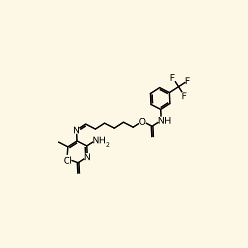 C=C(Cl)/N=C(/N)C(/N=C\CCCCCOC(=C)Nc1cccc(C(F)(F)F)c1)=C(C)C